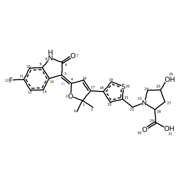 CC1(C)O/C(=C2/C(=O)Nc3cc(F)ccc32)C=C1c1csc(CN2CC(O)CC2C(=O)O)c1